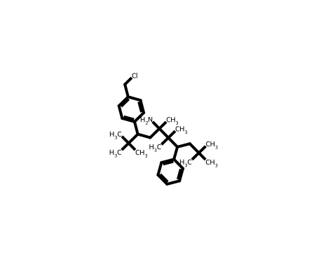 CC(C)(C)CC(c1ccccc1)C(C)(C)C(C)(N)CC(c1ccc(CCl)cc1)C(C)(C)C